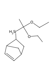 CCOC(C)(OCC)[SiH2]C1CC2C=CC1C2